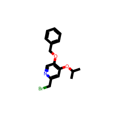 CC(C)Oc1cc(CBr)ncc1OCc1ccccc1